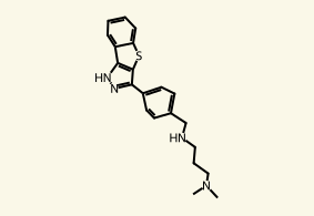 CN(C)CCCNCc1ccc(-c2n[nH]c3c2sc2ccccc23)cc1